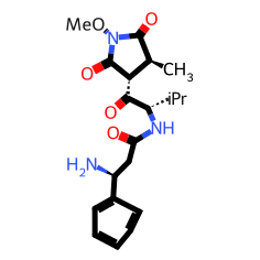 CON1C(=O)[C@@H](C(=O)[C@@H](NC(=O)C[C@H](N)c2ccccc2)C(C)C)[C@H](C)C1=O